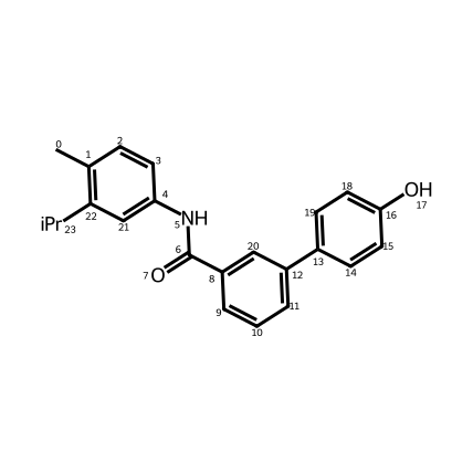 Cc1ccc(NC(=O)c2cccc(-c3ccc(O)cc3)c2)cc1C(C)C